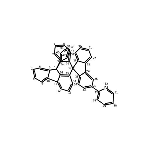 c1ccc(C23c4ccccc4-c4cccc(c42)C2(c4ccccc4-c4cc(-c5ccccn5)ccc42)c2ccccc23)cc1